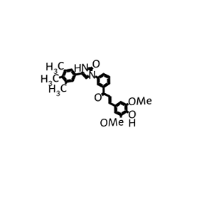 COc1cc(C=CC(=O)c2cccc(-n3cc(-c4cc(C)c(C)c(C)c4)[nH]c3=O)c2)cc(OC)c1O